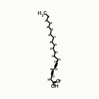 CCCCCCCCCCCCCCC#CC#CCC(=O)O